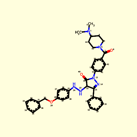 CN(C)C1CCN(C(=O)c2ccc(N3N=C(c4ccccc4)C(NNc4ccc(OCc5ccccc5)cc4)C3=O)cc2)CC1